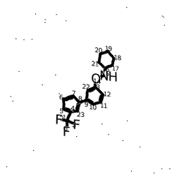 FC(F)(F)c1cccc(-c2cccc(ONC3CCCCC3)c2)c1